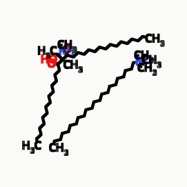 CCCCCCCCCCCCCCCC(=O)C(C)(C(=O)CCCCCCCCCCCCCCC)C(C)(O)NC.CCCCCCCCCCCCCCCCCCCCCC[N+](C)(C)C